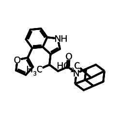 CC(CC(=O)N1C2CC3CC(C2)C(C(=O)O)C1C3)c1c[nH]c2cccc(-c3ccco3)c12